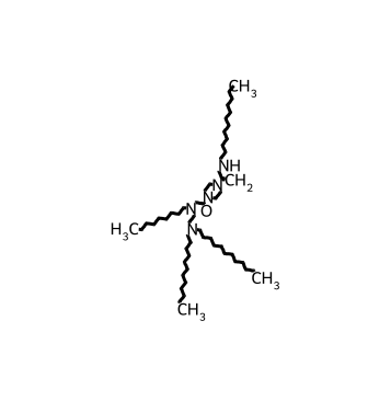 C=C(CNCCCCCCCCCCCC)N1CCN(C(=O)CN(CCCCCCCCC)CCN(CCCCCCCCCCCC)CCCCCCCCCCCC)CC1